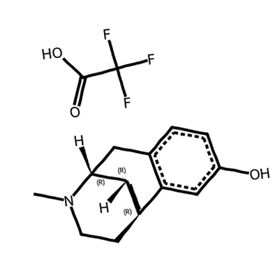 CN1CC[C@]23CCCC[C@H]2[C@H]1Cc1ccc(O)cc13.O=C(O)C(F)(F)F